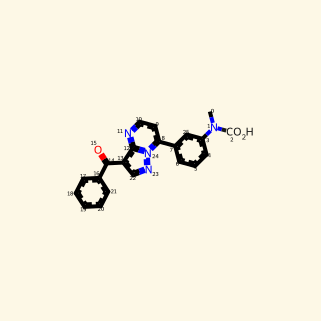 CN(C(=O)O)c1cccc(-c2ccnc3c(C(=O)c4ccccc4)cnn23)c1